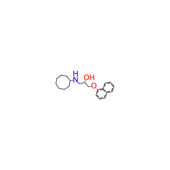 OC(CNC1CCCCCCC1)COc1cccc2ccccc12